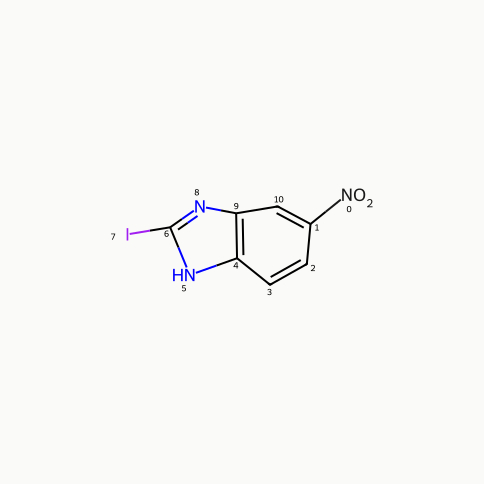 O=[N+]([O-])c1ccc2[nH]c(I)nc2c1